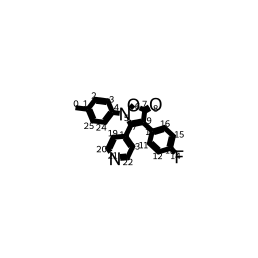 Cc1ccc(-n2oc(=O)c(-c3ccc(F)cc3)c2-c2ccncc2)cc1